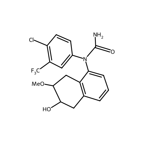 COC1Cc2c(cccc2N(C(N)=O)c2ccc(Cl)c(C(F)(F)F)c2)CC1O